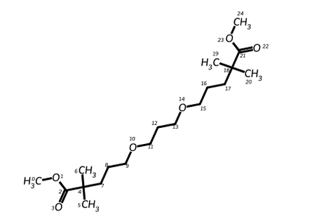 COC(=O)C(C)(C)CCCOCCCOCCCC(C)(C)C(=O)OC